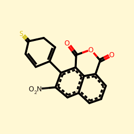 O=C1OC(=O)c2c(C3=CCC(=S)C=C3)c([N+](=O)[O-])cc3cccc1c23